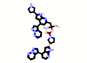 CC(C)(Cc1cc(-c2cnn3ncccc23)c2cc(C3CCNC3)[nH]c2n1)OC(=O)N1CC[C@H](c2cc3c(-c4cnn5ncccc45)ccnc3[nH]2)C1